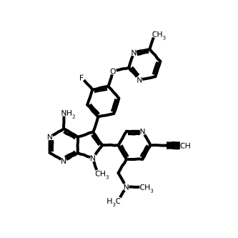 C#Cc1cc(CN(C)C)c(-c2c(-c3ccc(Oc4nccc(C)n4)c(F)c3)c3c(N)ncnc3n2C)cn1